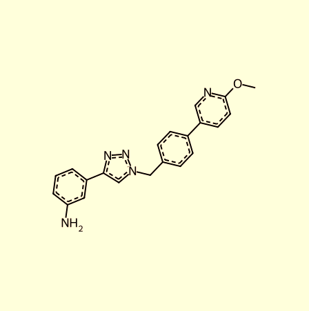 COc1ccc(-c2ccc(Cn3cc(-c4cccc(N)c4)nn3)cc2)cn1